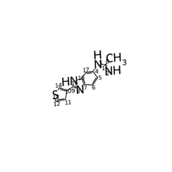 CC(=N)Nc1ccc2nc(-c3ccsc3)[nH]c2c1